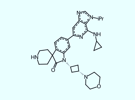 CC(C)n1cnc2cc(-c3ccc4c(c3)N([C@H]3C[C@@H](N5CCOCC5)C3)C(=O)C43CCNCC3)nc(NC3CC3)c21